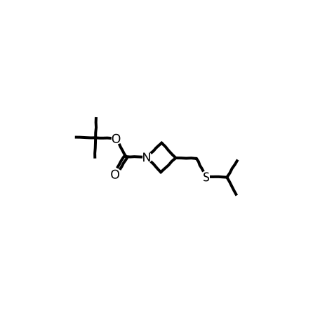 CC(C)SCC1CN(C(=O)OC(C)(C)C)C1